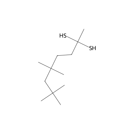 CC(C)(C)CC(C)(C)CCC(C)(S)S